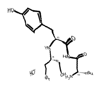 CCCC[C@H](N)C(=O)NC(=O)[C@H](Cc1ccc(O)cc1)N[C@H](CO)CC(C)C.Cl